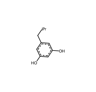 CC(C)Cc1cc(O)cc(O)c1